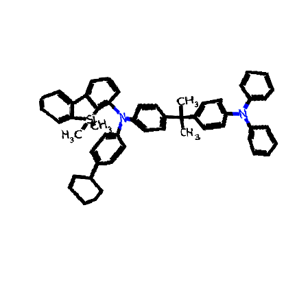 CC(C)(c1ccc(N(c2ccccc2)c2ccccc2)cc1)c1ccc(N(c2ccc(C3CCCCC3)cc2)c2cccc3c2[Si](C)(C)c2ccccc2-3)cc1